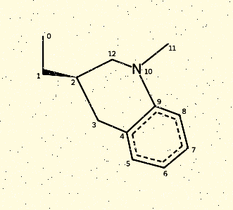 CC[C@@H]1Cc2ccccc2N(C)C1